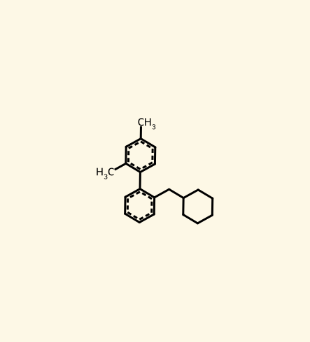 Cc1ccc(-c2ccccc2CC2CCCCC2)c(C)c1